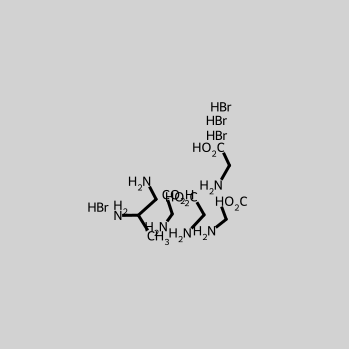 Br.Br.Br.Br.CC(N)CN.NCC(=O)O.NCC(=O)O.NCC(=O)O.NCC(=O)O